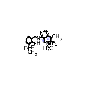 C=CN/C=c1/c(NCc2cccc(C(C)(F)F)c2F)ncn/c1=C(\C)C1(CF)CC1